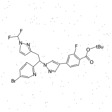 CC(C)(C)OC(=O)c1ccc(-c2cnn(C(Cc3ccn(C(F)F)n3)c3ccc(Br)cn3)c2)cc1F